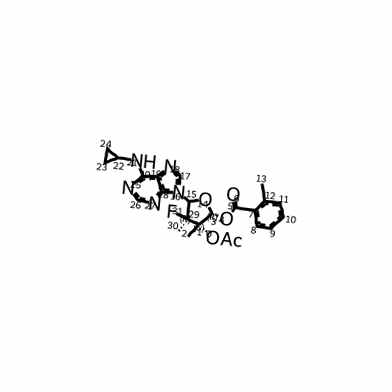 CC(=O)O[C@@]1(C)[C@@H](OC(=O)c2ccccc2C)OC(n2cnc3c(NC4CC4)ncnc32)[C@]1(C)F